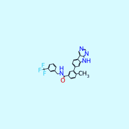 Cc1ccc(C(=O)NCc2cccc(C(F)(F)F)c2)cc1-c1ccc2c(c1)[nH]c1ncncc12